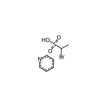 CC(Br)S(=O)(=O)O.c1ccncc1